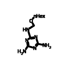 CCCCCCOCNc1nc(N)nc(N)n1